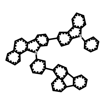 c1ccc(-n2c3ccccc3c3cc(-c4ccc5c6ccc7ccccc7c6n(-c6cccc(-c7ccc8c9c(cccc79)-c7ccccc7-8)c6)c5c4)ccc32)cc1